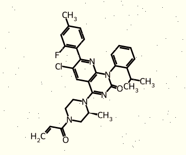 C=CC(=O)N1CCN(c2nc(=O)n(-c3ccccc3C(C)C)c3nc(-c4ccc(C)cc4F)c(Cl)cc23)[C@@H](C)C1